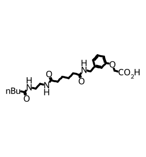 CCCCC(=O)NCCNC(=O)CCCCC(=O)NCc1cccc(OCC(=O)O)c1